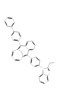 CCc1nc2ccccc2n1-c1ccc(C2=C3C=CC=CC(=C(c4ccc(-c5ccccc5)cc4)c4ccccc42)C3)cc1